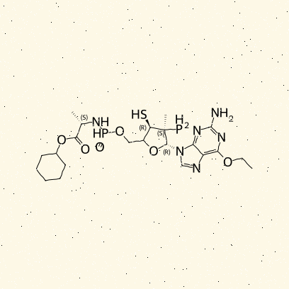 CCOc1nc(N)nc2c1ncn2[C@@H]1OC(CO[PH](=O)N[C@@H](C)C(=O)OC2CCCCC2)[C@@H](S)[C@@]1(C)P